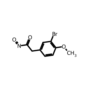 COc1ccc(CC(=O)N=O)cc1Br